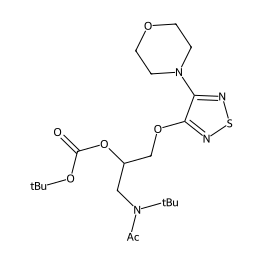 CC(=O)N(CC(COc1nsnc1N1CCOCC1)OC(=O)OC(C)(C)C)C(C)(C)C